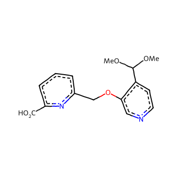 COC(OC)c1ccncc1OCc1cccc(C(=O)O)n1